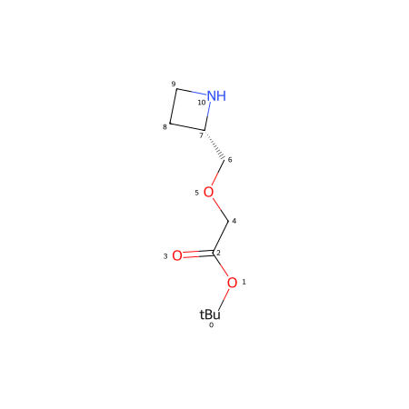 CC(C)(C)OC(=O)COC[C@@H]1CCN1